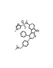 CN(C)Cc1ccc(-c2cnc3[nH]c4ccc(N(C)S(=O)(=O)c5cn(C)cn5)cc4c3c2-c2ccccc2)cc1